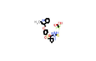 Cc1cc(COc2ccc(S(=O)(=O)CC3(Cc4n[nH]c(=S)[nH]4)CCCC3)cc2)c2ccccc2n1.O=C(O)C(F)(F)F